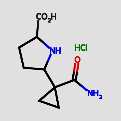 Cl.NC(=O)C1(C2CCC(C(=O)O)N2)CC1